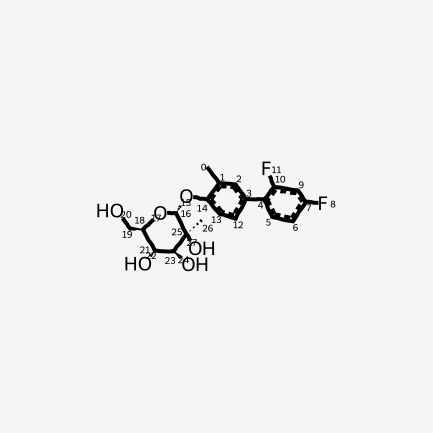 Cc1cc(-c2ccc(F)cc2F)ccc1O[C@H]1O[C@H](CO)[C@@H](O)[C@H](O)[C@]1(C)O